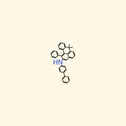 CC1(C)c2ccccc2-c2c(-c3ccccc3)c(Nc3ccc(-c4ccccc4)cc3)cc3cccc1c23